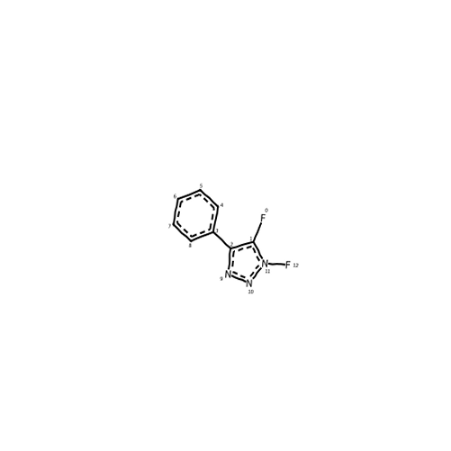 Fc1c(-c2ccccc2)nnn1F